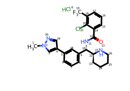 Cl.Cn1cc(-c2cccc([C@H](NC(=O)c3cccc(C(F)(F)F)c3Cl)[C@@H]3CCCCN3)c2)cn1